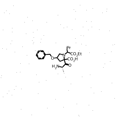 CCOC(=O)C(C(C)C)N1CC(OCc2ccccc2)CC1(C(=O)O)C(=O)[C@H](C)N